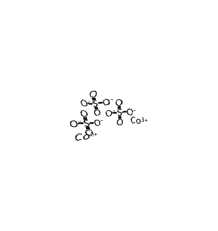 O=S(=O)([O-])[O-].O=S(=O)([O-])[O-].O=S(=O)([O-])[O-].[Co+3].[Co+3]